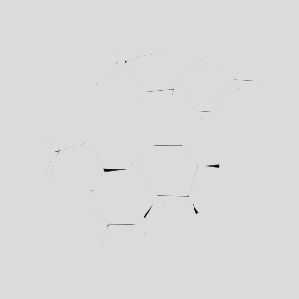 CC(=O)OC[C@H]1O[C@H](c2cc(O)ccc2OC(F)(F)F)[C@@H](O)[C@@H](O)[C@H]1OC(C)=O